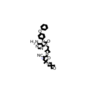 CC(C)(/C=C(/C#N)C(=O)N1CC(Cn2c(=O)n(-c3ccc(Oc4ccccc4)cc3)c3c(N)ncnc32)C1)N1CC2(COC2)C1